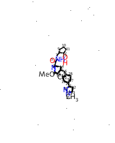 COc1nc(C(=O)NCC2CCC[C@@H]2O)cc(Cc2ccc(-c3ccn(C)n3)cc2)c1C